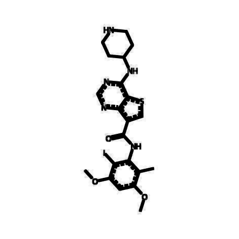 COc1cc(OC)c(I)c(NC(=O)c2csc3c(NC4CCNCC4)ncnc23)c1C